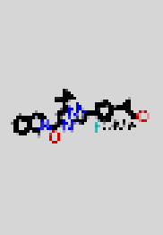 COC(=O)C1CC1c1ccc(-c2cc3nc(C(=O)N4CCc5ccccc5[C@H]4C)cc(C4(C)CC4)n3n2)c(F)c1